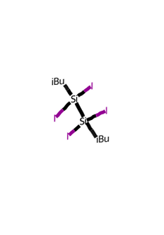 CCC(C)[Si](I)(I)[Si](I)(I)C(C)CC